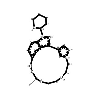 C[C@@H]1COc2ccc3c(c2)c(nn3C2CCCCO2)-c2cnn(c2)CCOCCO1